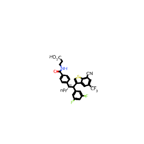 CCC[C@H](c1ccc(C(=O)NCCC(=O)O)cc1)C(c1cc(F)cc(F)c1)c1csc2c(C#N)cc(C(F)(F)F)cc12